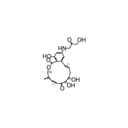 C[C@@H]1/C=C\C(=O)[C@@H](O)[C@@H](O)C/C=C/c2cc(NCC(=O)CO)cc(O)c2C(=O)O[C@H]1C